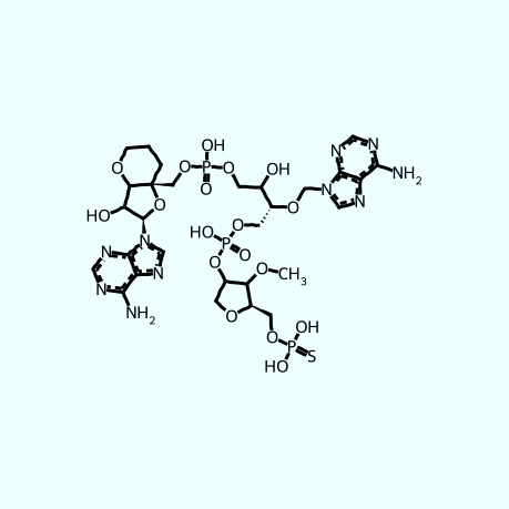 COC1C(OP(=O)(O)OC[C@@H](OCn2cnc3c(N)ncnc32)C(O)COP(=O)(O)OC[C@]23CCCOC2C(O)[C@H](n2cnc4c(N)ncnc42)O3)CO[C@@H]1COP(O)(O)=S